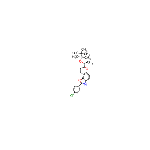 C[C@H](O[Si](C)(C)C(C)(C)C)C(=O)/C=C\c1cccc2nc(-c3ccc(Cl)cc3)oc12